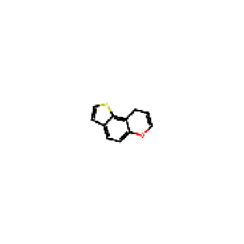 C1=COc2ccc3ccsc3c2C1